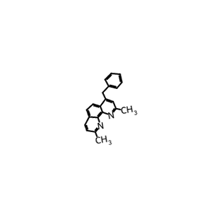 Cc1ccc2ccc3c(Cc4ccccc4)cc(C)nc3c2n1